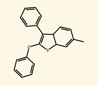 CC1=CC2SC(Oc3ccccc3)=C(c3ccccc3)C2C=C1